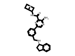 Nc1ncc(-c2cccc(CN[C@H]3CCc4ccccc43)c2)nc1C(=O)NC1CN2CCC12